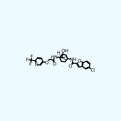 O=C(COc1ccc(C(F)(F)F)nc1)NC12CCC(NC(=O)c3cc4cc(Cl)ccc4o3)(CC1)C[C@@H]2O